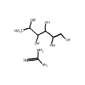 N=C(N)N.O=C(O)C(O)C(O)C(O)C(O)CO